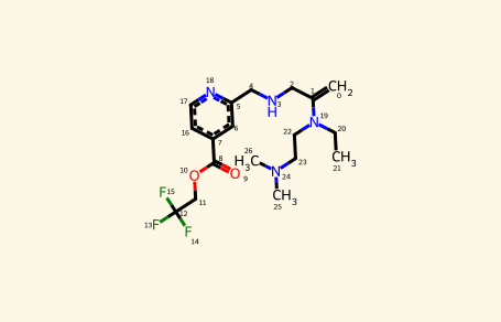 C=C(CNCc1cc(C(=O)OCC(F)(F)F)ccn1)N(CC)CCN(C)C